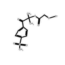 CCOCC(=O)OC(C)(C)C(=O)c1ccc(S(C)(=O)=O)cc1